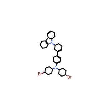 BrC1CCC(N(C2=CC=C(C3=CCCC(N4C5=C(CCCC5)C5C=CCCC54)C3)CC2)C2CCC(Br)CC2)CC1